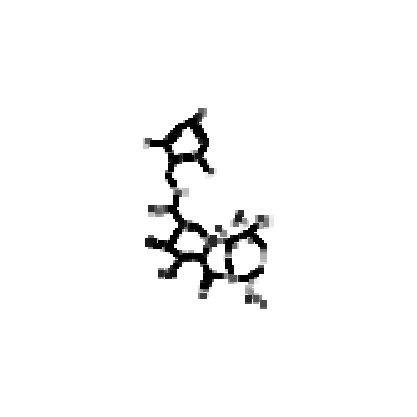 C[C@H]1CC[C@](C)(O)[C@H]2CN1C(=O)c1c(O)c(=O)c(C(=O)NCc3c(F)cc(F)cc3F)cn12